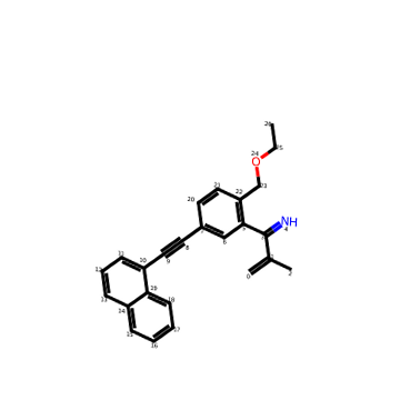 C=C(C)C(=N)c1cc(C#Cc2cccc3ccccc23)ccc1COCC